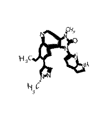 CCc1cc2ncc3c(c2cc1-c1cnn(C)c1)n(-c1ccc2cc[nH]c2n1)c(=O)n3C